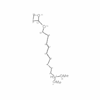 CO[SiH](CCCCCCCCCOC1CCO1)OC